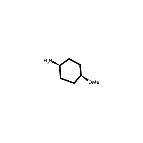 CO[C@H]1CC[C@@H](N)CC1